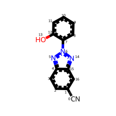 N#Cc1ccc2nn(-c3cc[c]cc3O)nc2c1